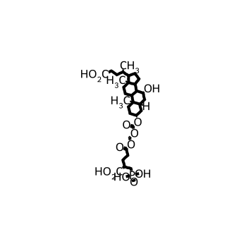 C[C@H](CCC(=O)O)C1CCC2C3C(CC[C@@]21C)[C@@]1(C)CC[C@@H](OC(=O)OCOC(=O)CCC(CP(=O)(O)O)C(=O)O)C[C@H]1C[C@@H]3O